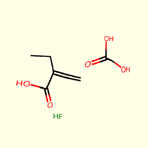 C=C(CC)C(=O)O.F.O=C(O)O